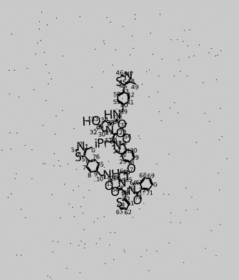 Cc1ncsc1-c1ccc(CNC(=O)[C@@H]2C[C@@H](Oc3ccc4c(c3)CN([C@H](C(=O)N3C[C@@](C)(O)C[C@H]3C(=O)NCc3ccc(-c5scnc5C)cc3)C(C)C)C4=O)CN2C(=O)[C@H](c2cccs2)N2Cc3ccccc3C2=O)cc1